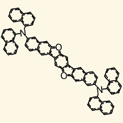 c1ccc2c(N(c3ccc4cc5c(cc4c3)oc3cc4c(cc35)oc3cc5cc(N(c6cccc7ccccc67)c6cccc7ccccc67)ccc5cc34)c3cccc4ccccc34)cccc2c1